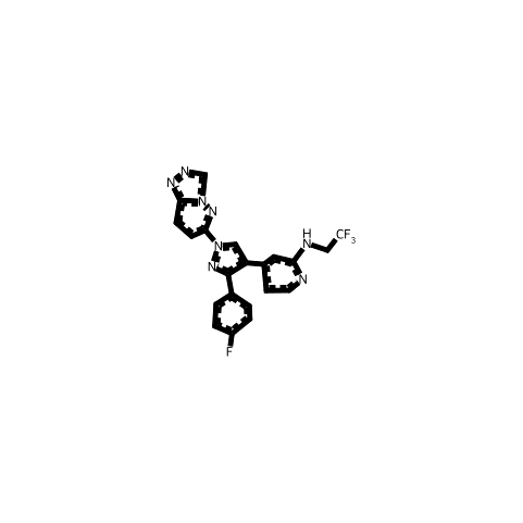 Fc1ccc(-c2nn(-c3ccc4nncn4n3)cc2-c2ccnc(NCC(F)(F)F)c2)cc1